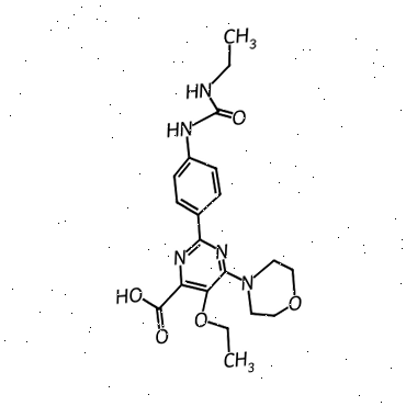 CCNC(=O)Nc1ccc(-c2nc(C(=O)O)c(OCC)c(N3CCOCC3)n2)cc1